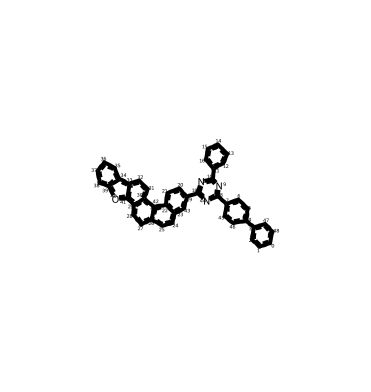 c1ccc(-c2ccc(-c3nc(-c4ccccc4)nc(-c4ccc5c(ccc6ccc7c(ccc8c9ccccc9oc87)c65)c4)n3)cc2)cc1